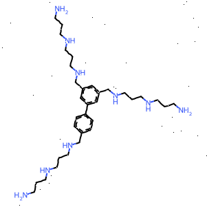 NCCCNCCCNCc1ccc(-c2cc(CNCCCNCCCN)cc(CNCCCNCCCN)c2)cc1